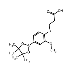 COc1cc(B2OC(C)(C)C(C)(C)O2)ccc1OCCC(=O)O